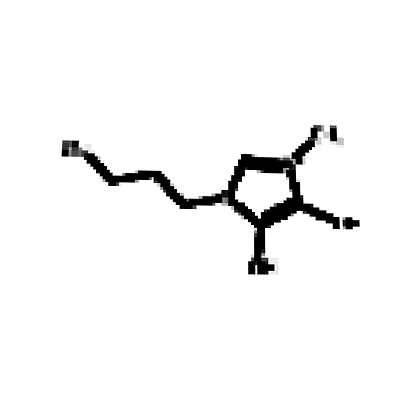 C[n+]1cn(CCCC(C)(C)C)c(O)c1O